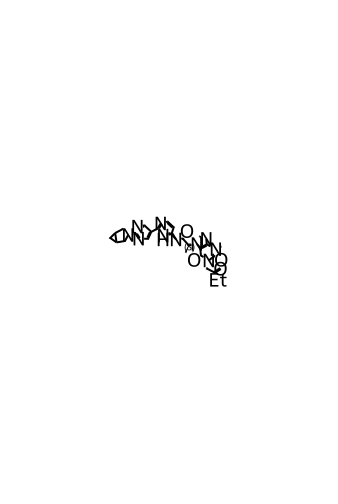 CCC(=O)Cn1c(=O)c2c(ncn2[C@@H](C)C(=O)Nc2ccnc(-c3cnc(N4CC5CC5C4)nc3)n2)n(C)c1=O